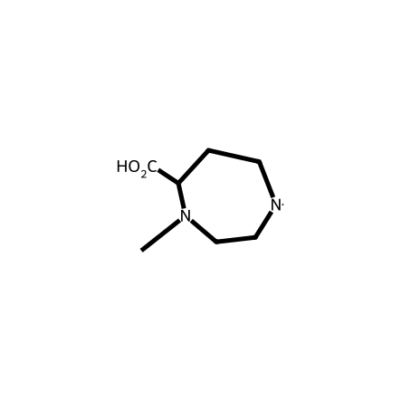 CN1CC[N]CCC1C(=O)O